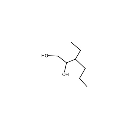 CCCC(CC)C(O)CO